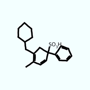 CC1=C(CC2CCCCC2)CC(c2ccccc2)(S(=O)(=O)O)C=C1